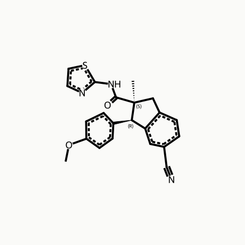 COc1ccc([C@@H]2c3cc(C#N)ccc3C[C@]2(C)C(=O)Nc2nccs2)cc1